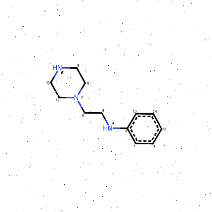 c1ccc(NCCN2CCNCC2)cc1